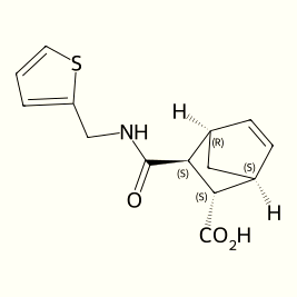 O=C(O)[C@@H]1[C@@H](C(=O)NCc2cccs2)[C@H]2C=C[C@@H]1C2